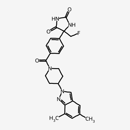 Cc1cc(C)c2nn(C3CCN(C(=O)c4ccc(C5(CF)NC(=O)NC5=O)cc4)CC3)cc2c1